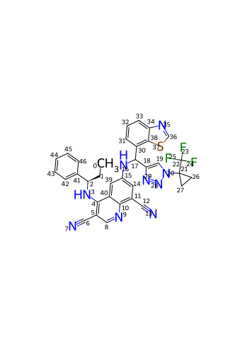 CC[C@@H](Nc1c(C#N)cnc2c(C#N)cc(NC(c3cn(C4(C(F)(F)F)CC4)nn3)c3cccc4ncsc34)cc12)c1ccccc1